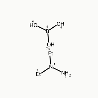 CCN(N)CC.OB(O)O